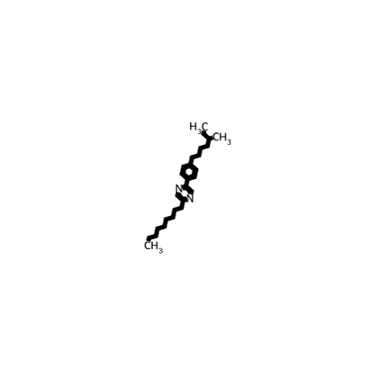 CCCCCCCCCc1cnc(-c2ccc(CCCCC(C)CC)cc2)cn1